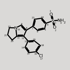 NS(=O)(=O)c1ccc(-c2cn3c(c2-c2ccc(Cl)cc2)CCC3)cc1